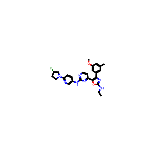 CCNc1nc(-c2cc(C)cc(OC)c2)c(-c2ccnc(Nc3ccc(N4CC[C@@H](F)C4)nc3)n2)o1